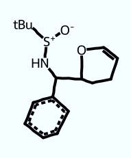 CC(C)(C)[S+]([O-])NC(c1ccccc1)C1CCC=CO1